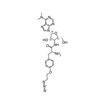 CN(C)c1ncnc2c1ncn2[C@@H]1O[C@H](CO)C(NC(=O)C(N)Cc2ccc(OCCN=[N+]=[N-])cc2)[C@@H]1O